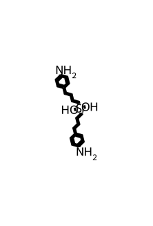 Nc1ccc(CCCC[Si](O)(O)CCCCc2ccc(N)cc2)cc1